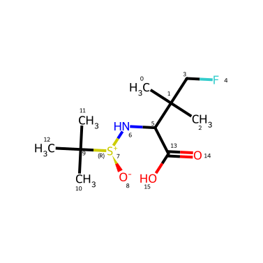 CC(C)(CF)C(N[S@@+]([O-])C(C)(C)C)C(=O)O